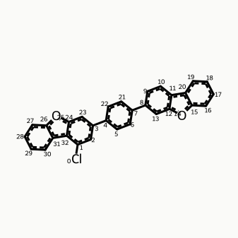 Clc1cc(-c2ccc(-c3ccc4c(c3)oc3ccccc34)cc2)cc2oc3ccccc3c12